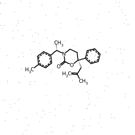 C=C(C)C[C@@]1(c2ccccc2)CCN([C@@H](C)c2ccc(C)cc2)C(=O)O1